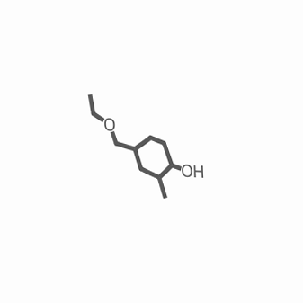 CCOCC1CCC(O)C(C)C1